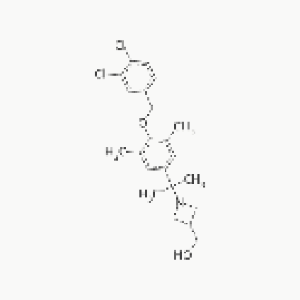 Cc1cc(C(C)(C)N2CC(CO)C2)cc(C)c1OCc1ccc(Cl)c(Cl)c1